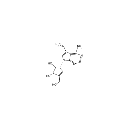 C=Cc1cn([C@@H]2C=C(CO)[C@H](O)C2O)c2ncnc(N)c12